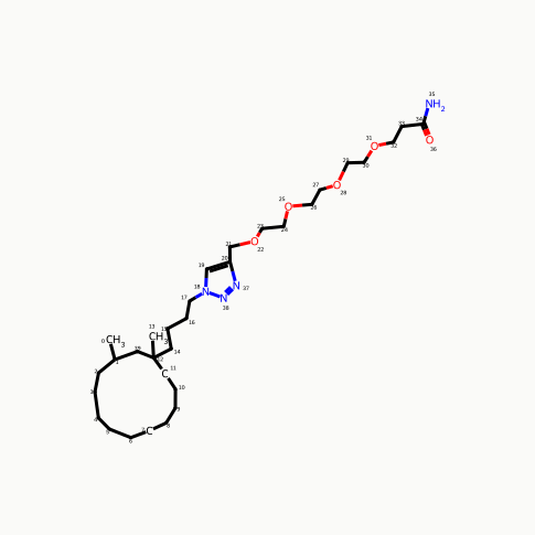 CC1CCCCCCCCCCC(C)(CCCCn2cc(COCCOCCOCCOCCC(N)=O)nn2)C1